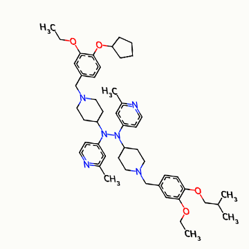 CCOc1cc(CN2CCC(N(c3ccnc(C)c3)N(c3ccnc(C)c3)C3CCN(Cc4ccc(OC5CCCC5)c(OCC)c4)CC3)CC2)ccc1OCC(C)C